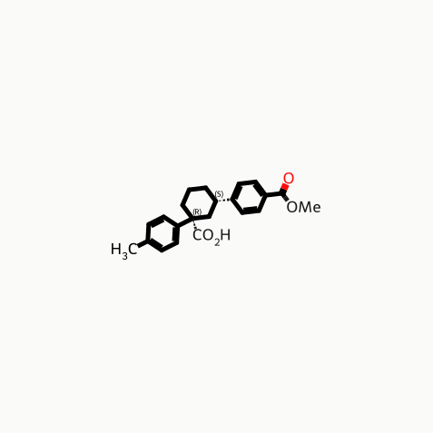 COC(=O)c1ccc([C@H]2CCC[C@](C(=O)O)(c3ccc(C)cc3)C2)cc1